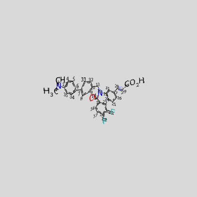 CN(C)c1ccc(-c2ccc(CN(C(=O)c3ccc(F)c(F)c3)c3cccc(/C=C/C(=O)O)c3)cc2)cc1